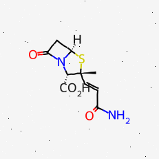 C[C@]1(C=CC(N)=O)S[C@@H]2CC(=O)N2[C@H]1C(=O)O